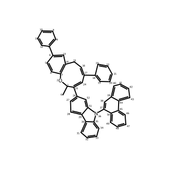 CC1Oc2ccc(-c3ccccc3)cc2C/C=C(c2ccccc2)\C=C/1c1ccc2c3ccccc3n(-c3cc4ccccc4c4ccccc34)c2c1